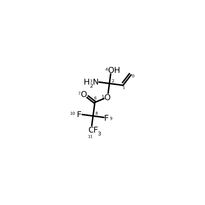 C=CC(N)(O)OC(=O)C(F)(F)C(F)(F)F